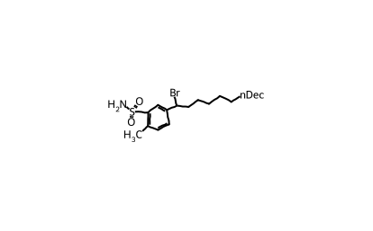 CCCCCCCCCCCCCCCC(Br)c1ccc(C)c(S(N)(=O)=O)c1